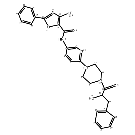 O=C(Nc1ccc(N2CCN(C(=O)C(O)Cc3ccccc3)CC2)nc1)c1oc(-c2ccccc2)nc1C(F)(F)F